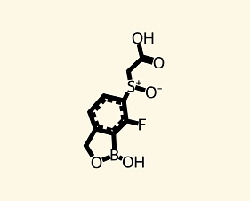 O=C(O)C[S+]([O-])c1ccc2c(c1F)B(O)OC2